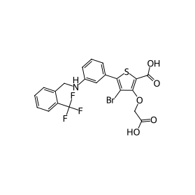 O=C(O)COc1c(C(=O)O)sc(-c2cccc(NCc3ccccc3C(F)(F)F)c2)c1Br